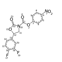 O=C(Oc1ccc([N+](=O)[O-])cc1)N1CC(c2ccc(F)c(F)c2)OC1=O